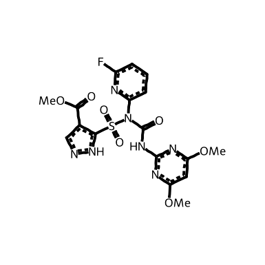 COC(=O)c1cn[nH]c1S(=O)(=O)N(C(=O)Nc1nc(OC)cc(OC)n1)c1cccc(F)n1